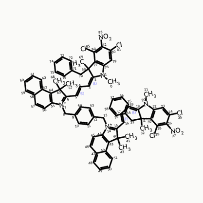 CN1/C(=C/C=C/C2=[N+](Cc3ccc(C[N+]4=C(/C=C/C=C5/N(C)c6cc(Cl)c([N+](=O)[O-])c(Cl)c6C5(C)Cc5ccccc5)C(C)(C)c5c4ccc4ccccc54)cc3)c3ccc4ccccc4c3C2(C)C)C(C)(Cc2ccccc2)c2c1cc(Cl)c([N+](=O)[O-])c2Cl